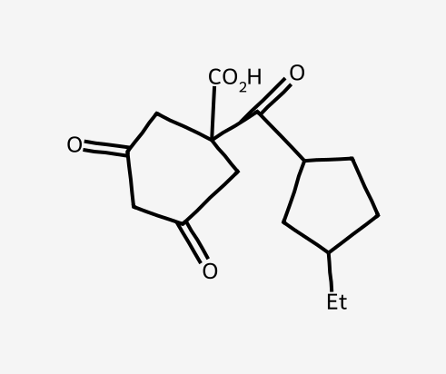 CCC1CCC(C(=O)C2(C(=O)O)CC(=O)CC(=O)C2)C1